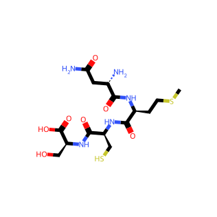 CSCC[C@H](NC(=O)[C@@H](N)CC(N)=O)C(=O)N[C@@H](CS)C(=O)N[C@@H](CO)C(=O)O